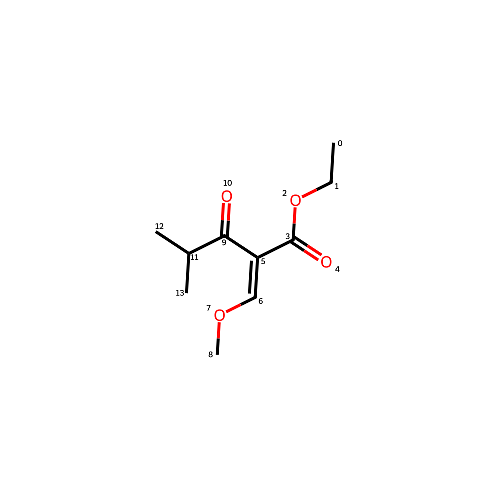 CCOC(=O)C(=COC)C(=O)C(C)C